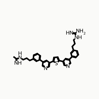 CC(=N)NCCCc1cccc(-c2cncc(-c3ccc(-c4cncc(-c5cccc(CCCNC(=N)N)c5)c4)s3)c2)c1